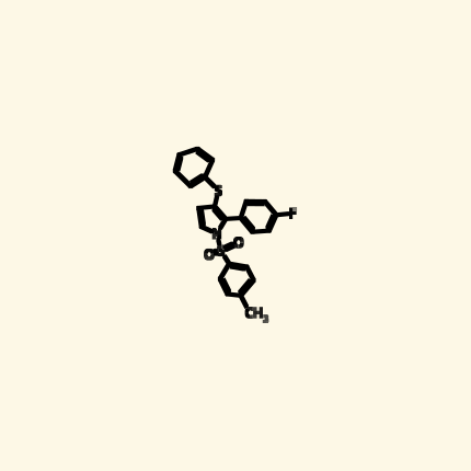 Cc1ccc(S(=O)(=O)n2ccc(Sc3ccccc3)c2-c2ccc(F)cc2)cc1